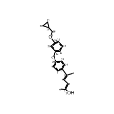 C/C(O)=C\C=C(/C)c1ccc(Oc2cccc(OCC3CC3)c2)cc1